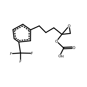 O=C(O)OC1(CCCc2cccc(C(F)(F)F)c2)CO1